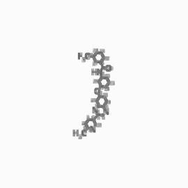 Cc1ccc(-c2cnc3ccc(Oc4cccc(NC(=O)c5cccc(C(F)(F)F)c5)c4)cc3n2)cn1